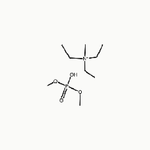 CC[N+](C)(CC)CC.COP(=O)(O)OC